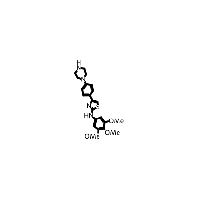 COc1cc(Nc2nc(-c3ccc(N4CCNCC4)cc3)cs2)cc(OC)c1OC